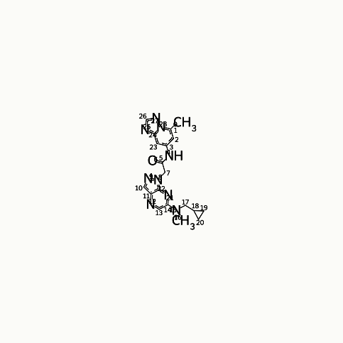 Cc1cc(NC(=O)Cn2ncc3ncc(N(C)CC4CC4)nc32)cc2ncnn12